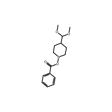 COC(OC)C1CCN(OC(=O)c2ccccc2)CC1